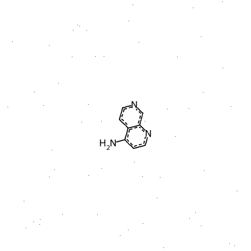 Nc1ccnc2cnccc12